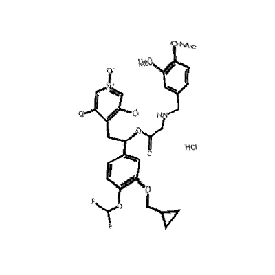 COc1ccc(CNCC(=O)OC(Cc2c(Cl)c[n+]([O-])cc2Cl)c2ccc(OC(F)F)c(OCC3CC3)c2)cc1OC.Cl